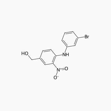 O=[N+]([O-])c1cc(CO)ccc1Nc1cccc(Br)c1